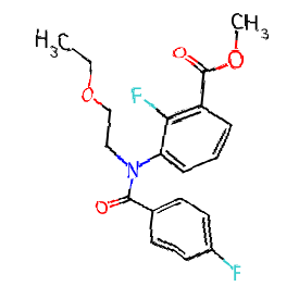 CCOCCN(C(=O)c1ccc(F)cc1)c1cccc(C(=O)OC)c1F